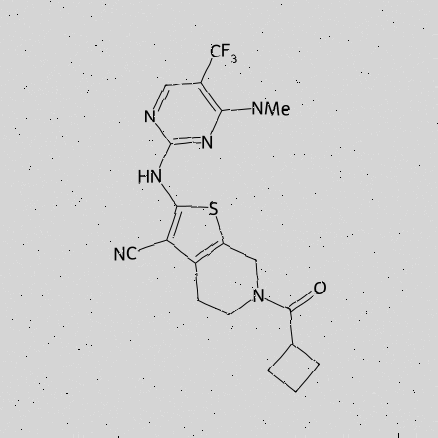 CNc1nc(Nc2sc3c(c2C#N)CCN(C(=O)C2CCC2)C3)ncc1C(F)(F)F